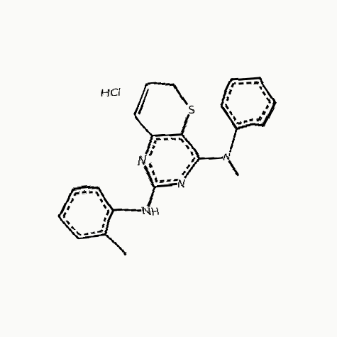 Cc1ccccc1Nc1nc2c(c(N(C)c3ccccc3)n1)SCC=C2.Cl